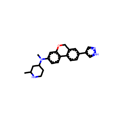 CC1CC(N(C)c2ccc3c(c2)OCc2cc(-c4cn[nH]c4)ccc2-3)CCN1